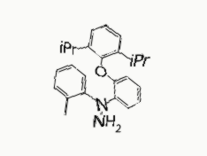 Cc1ccccc1N(N)c1ccccc1Oc1c(C(C)C)cccc1C(C)C